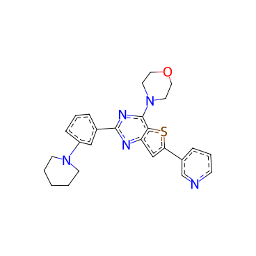 c1cncc(-c2cc3nc(-c4cccc(N5CCCCC5)c4)nc(N4CCOCC4)c3s2)c1